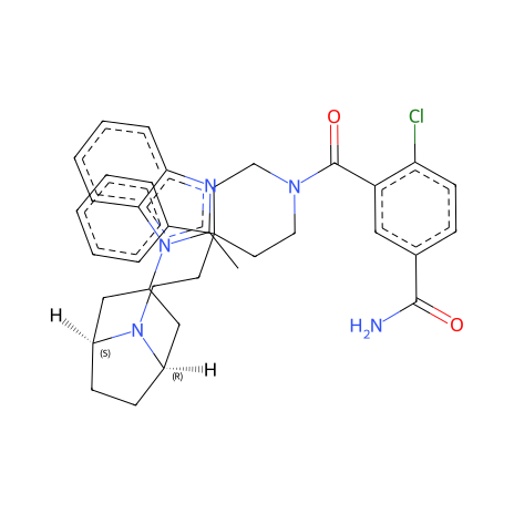 Cc1nc2ccccc2n1C1C[C@H]2CC[C@@H](C1)N2CCC1(c2ccccc2)CCN(C(=O)c2cc(C(N)=O)ccc2Cl)CC1